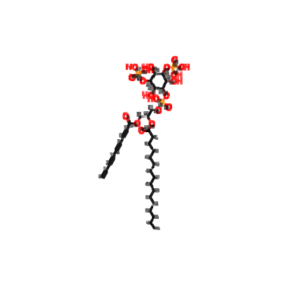 C#CC#CC#CC#CC(=O)OC[C@H](COP(=O)(O)OC1C(O)[C@@H](OP(=O)(O)O)C(O)[C@@H](OP(=O)(O)O)[C@H]1O)OC(=O)CCCCCCCCCCCCCCC